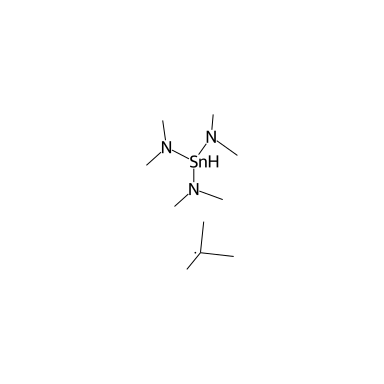 C[C](C)C.C[N](C)[SnH]([N](C)C)[N](C)C